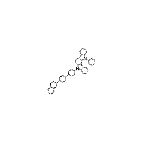 c1ccc(-n2c3ccccc3c3ccc4c(c5ccccc5n4-c4ccc(-c5ccc(-c6ccc7ccccc7c6)cc5)cc4)c32)cc1